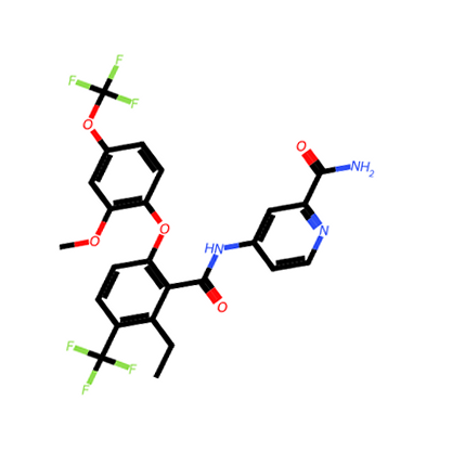 CCc1c(C(F)(F)F)ccc(Oc2ccc(OC(F)(F)F)cc2OC)c1C(=O)Nc1ccnc(C(N)=O)c1